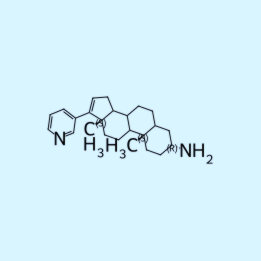 C[C@]12CC[C@@H](N)CC1CCC1C2CC[C@]2(C)C(c3cccnc3)=CCC12